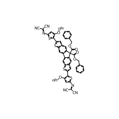 CCCOc1cc(N=C(C#N)C#N)sc1-c1cc2cc3c(cc2s1)-c1cc2sc(-c4sc(N=C(C#N)C#N)cc4OCCC)cc2cc1C3(C(=O)OCc1ccccc1)C(=O)OCc1ccccc1